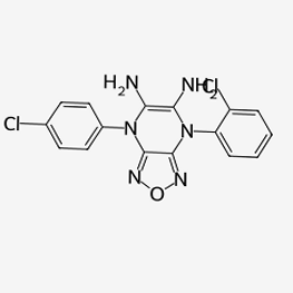 NC1=C(N)N(c2ccccc2Cl)c2nonc2N1c1ccc(Cl)cc1